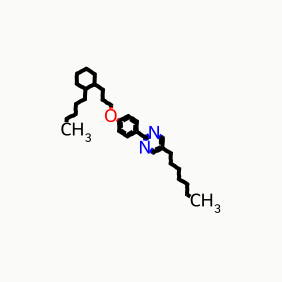 CCCCCCCc1cnc(-c2ccc(OCCCC3CCCCC3CCCCC)cc2)nc1